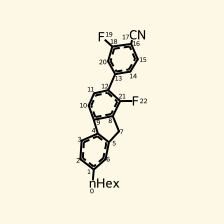 CCCCCCc1ccc2c(c1)Cc1c-2ccc(-c2ccc(C#N)c(F)c2)c1F